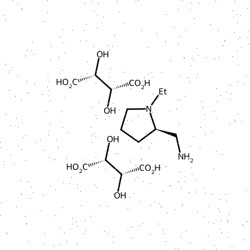 CCN1CCC[C@@H]1CN.O=C(O)[C@H](O)[C@@H](O)C(=O)O.O=C(O)[C@H](O)[C@@H](O)C(=O)O